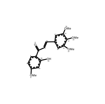 COc1ccc(C(=O)C=Cc2cc(OC)c(OC)c(OC)c2)c(O)c1